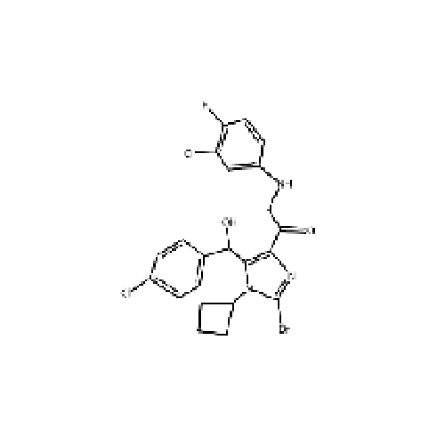 O=C(CNc1ccc(F)c(Cl)c1)c1nc(Br)n(C2CCC2)c1C(O)c1ccc(Cl)cc1